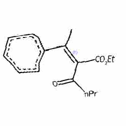 CCCC(=O)/C(C(=O)OCC)=C(/C)c1ccccc1